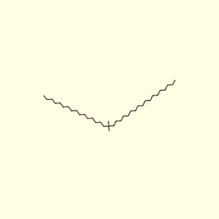 CCCCCCCCCCCCCCCCCCC(C)(C)CCCCCCCCCCCCCCCC